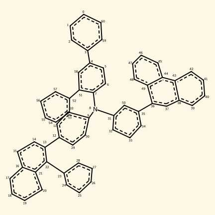 c1ccc(-c2ccc(N(c3ccc(-c4ccc5ccccc5c4-c4ccccc4)cc3)c3cccc(-c4cc5ccccc5c5ccccc45)c3)c(-c3ccccc3)c2)cc1